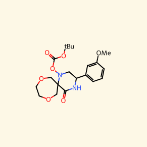 COc1cccc(C2CN(OC(=O)OC(C)(C)C)C3(COCCOC3)C(=O)N2)c1